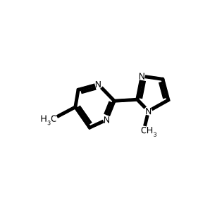 Cc1cnc(-c2nccn2C)nc1